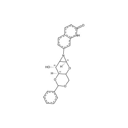 O=c1ccc2ccc(N3C4[C@@H](O)[C@@H]5OC(c6ccccc6)OCC5O[C@@H]43)cc2[nH]1